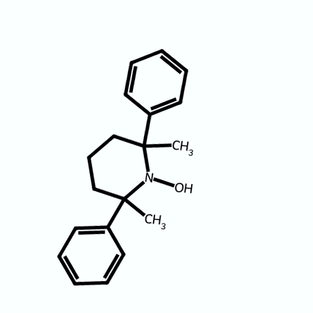 CC1(c2ccccc2)CCCC(C)(c2ccccc2)N1O